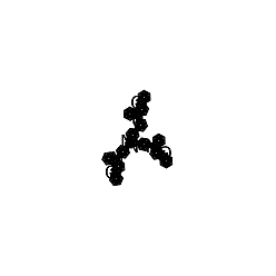 c1cc(-c2ccc3nc(-c4ccc(-n5c6ccccc6c6c7oc8ccccc8c7ccc65)cc4)nc(-c4ccc(-n5c6ccccc6c6c7oc8ccccc8c7ccc65)cc4)c3c2)cc(-n2c3ccccc3c3c4oc5ccccc5c4ccc32)c1